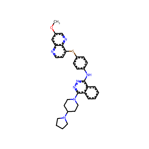 COc1cnc2c(Sc3ccc(Nc4nnc(N5CCC(N6CCCC6)CC5)c5ccccc45)cc3)ccnc2c1